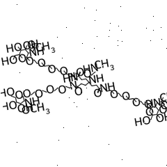 CNCC(=O)NC(CCC(=O)NCCOCCOCCOCCOC1OC(CO)C(O)C(O)C1NC(C)=O)(CCC(=O)NCCOCCOCCOCCOC1OC(CO)C(O)C(O)C1NC(C)=O)CCC(=O)NCCOCCOCCOCCOC1OC(CO)[C@@H](O)C(O)C1NC(C)=O